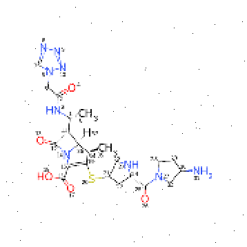 C[C@@H](NC(=O)Cn1cnnn1)[C@H]1C(=O)N2C(C(=O)O)=C(SC3CN[C@H](C(=O)N4CC[C@@H](N)C4)C3)[C@H](C)[C@H]12